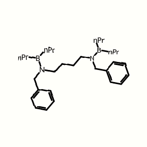 CCCB(CCC)N(CCCCN(Cc1ccccc1)B(CCC)CCC)Cc1ccccc1